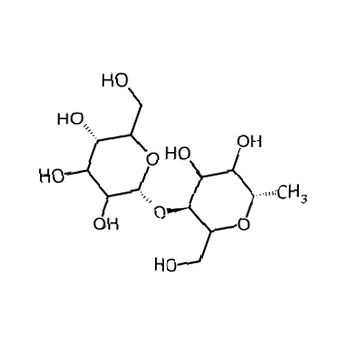 C[C@@H]1OC(CO)[C@@H](O[C@H]2OC(CO)[C@@H](O)C(O)C2O)C(O)C1O